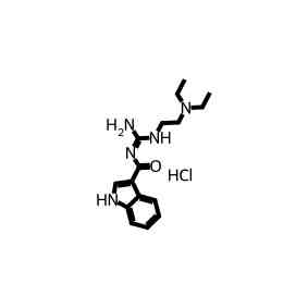 CCN(CC)CCNC(N)=NC(=O)c1c[nH]c2ccccc12.Cl